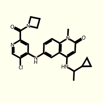 CC(Nc1cc(=O)n(C)c2ccc(Nc3cc(C(=O)N4CCC4)ncc3Cl)cc12)C1CC1